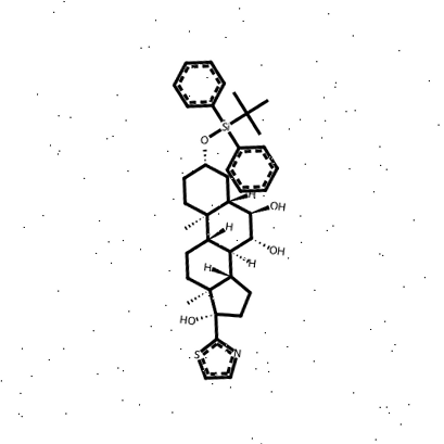 CC(C)(C)[Si](O[C@H]1CC[C@@]2(C)[C@H](C1)[C@@H](O)[C@H](O)[C@@H]1[C@@H]2CC[C@@]2(C)[C@H]1CC[C@@]2(O)c1nccs1)(c1ccccc1)c1ccccc1